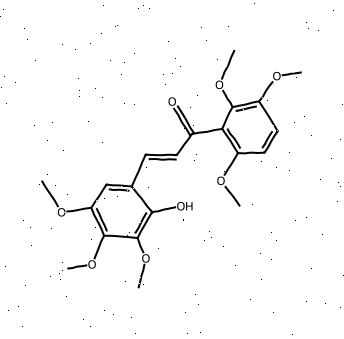 COc1cc(/C=C/C(=O)c2c(OC)ccc(OC)c2OC)c(O)c(OC)c1OC